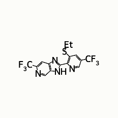 CCSc1cc(C(F)(F)F)cnc1-c1nc2cc(C(F)(F)F)ncc2[nH]1